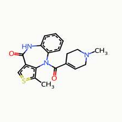 Cc1scc2c1N(C(=O)C1=CCN(C)CC1)c1ccccc1NC2=O